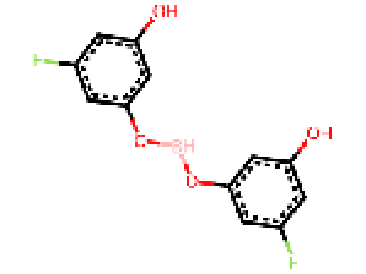 Oc1cc(F)cc(OBOc2cc(O)cc(F)c2)c1